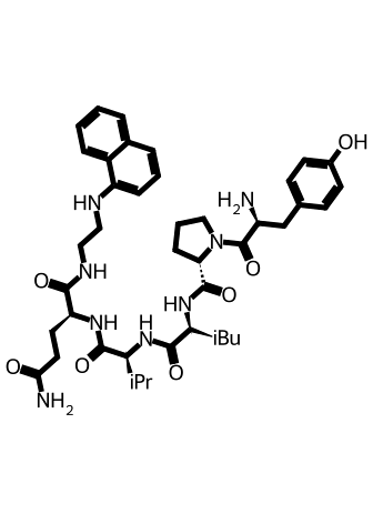 CC[C@H](C)[C@H](NC(=O)[C@@H]1CCCN1C(=O)[C@@H](N)Cc1ccc(O)cc1)C(=O)N[C@H](C(=O)N[C@@H](CCC(N)=O)C(=O)NCCNc1cccc2ccccc12)C(C)C